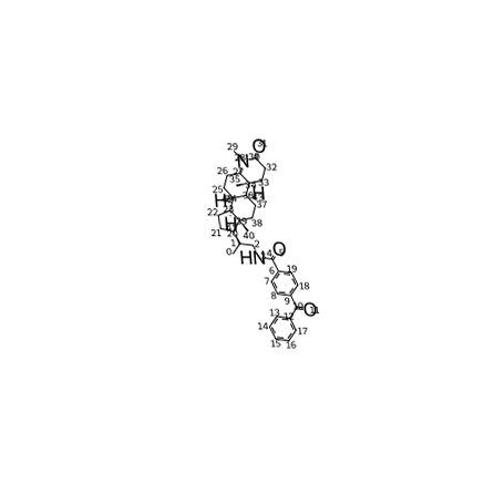 CC(CNC(=O)c1ccc(C(=O)c2ccccc2)cc1)[C@H]1CC[C@H]2[C@@H]3CCC4N(C)C(=O)CC[C@]4(C)[C@H]3CC[C@]12C